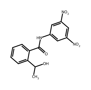 CC(O)c1ccccc1C(=O)Nc1cc([N+](=O)[O-])cc([N+](=O)[O-])c1